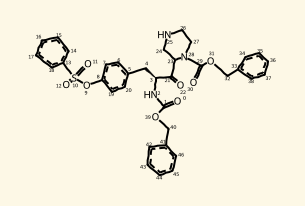 O=C(N[C@@H](Cc1ccc(OS(=O)(=O)c2ccccc2)cc1)C(=O)C1CNCCN1C(=O)OCc1ccccc1)OCc1ccccc1